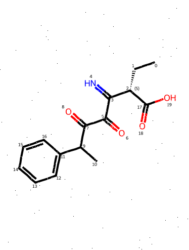 CC[C@@H](C(=N)C(=O)C(=O)C(C)c1ccccc1)C(=O)O